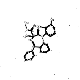 Cc1c(C#N)cccc1N1C(=O)C(N)(C(=O)OC(C)(C)C)N=C(c2ccccc2)c2ccccc21